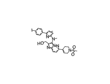 CN(c1nc(-c2ccc(I)cc2)cs1)c1c(CO)nc2ccc(C3=CCN(S(C)(=O)=O)CC3)nn12